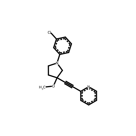 COC1(C#Cc2ccccn2)CCN(c2cccc(Cl)c2)C1